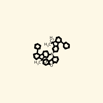 CC1(C)c2cc(N(c3ccc4c(c3)C(C)(C)c3cccc(-c5ccccc5)c3-4)c3cccc4oc5ccccc5c34)ccc2-c2c(-c3ccccc3)cccc21